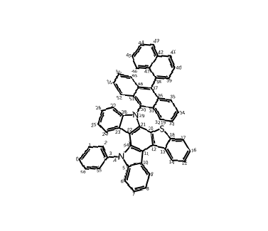 c1ccc(-n2c3ccccc3c3c4c5ccccc5sc4c4c(c5ccccc5n4-c4c5ccccc5c(-c5cccc6ccccc56)c5ccccc45)c32)cc1